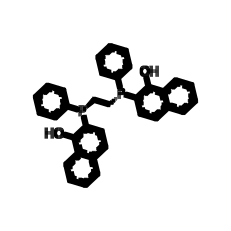 Oc1c([P@](CC[P@](c2ccccc2)c2ccc3ccccc3c2O)c2ccccc2)ccc2ccccc12